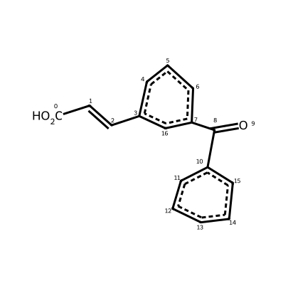 O=C(O)C=Cc1cccc(C(=O)c2ccccc2)c1